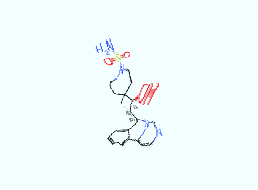 NS(=O)(=O)N1CCC2(CC1)C[C@@H]([C@@H]1c3ccccc3-c3cncn31)[C@@H]2O